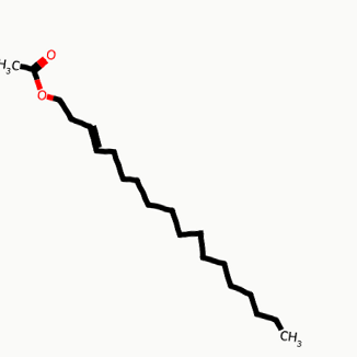 CCCCCCCCCCCCCC/C=C/CCOC(C)=O